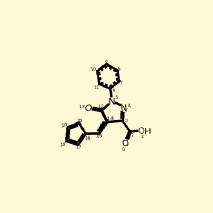 O=C(O)C1=NN(c2ccccc2)C(=O)/C1=C\C1=C=C=C=C1